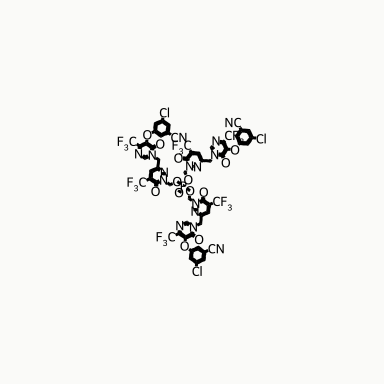 N#Cc1cc(Cl)cc(Oc2c(C(F)(F)F)ncn(Cc3cc(C(F)(F)F)c(=O)n(COP(=O)(OCn4nc(Cn5cnc(C(F)(F)F)c(Oc6cc(Cl)cc(C#N)c6)c5=O)cc(C(F)(F)F)c4=O)OCn4nc(Cn5cnc(C(F)(F)F)c(Oc6cc(Cl)cc(C#N)c6)c5=O)cc(C(F)(F)F)c4=O)n3)c2=O)c1